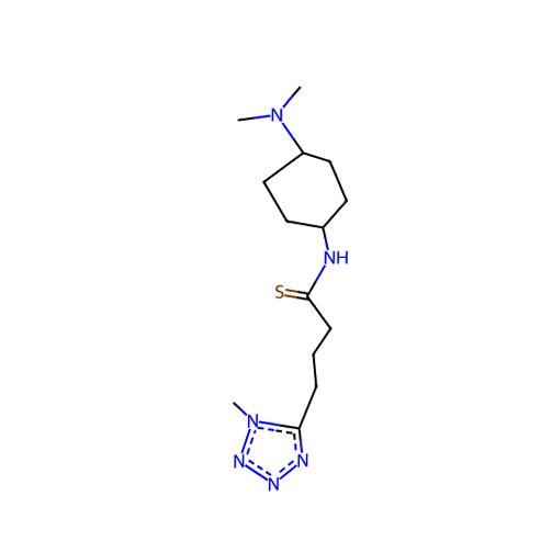 CN(C)C1CCC(NC(=S)CCCc2nnnn2C)CC1